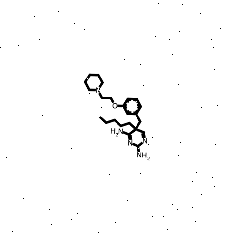 CCCCCC1(Cc2cccc(OCCN3CCCCC3)c2)C=NC(N)N=C1N